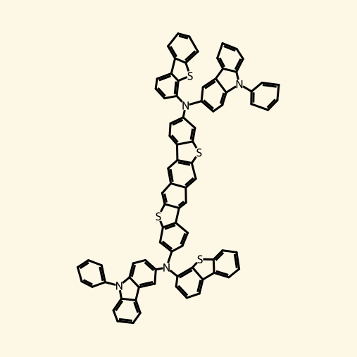 c1ccc(-n2c3ccccc3c3cc(N(c4ccc5c(c4)sc4cc6cc7c(cc6cc45)sc4cc(N(c5ccc6c(c5)c5ccccc5n6-c5ccccc5)c5cccc6c5sc5ccccc56)ccc47)c4cccc5c4sc4ccccc45)ccc32)cc1